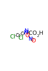 O=C(O)c1cnn(-c2ccc(-c3ccc(Cl)cc3Cl)cc2)c1OCCN1CCOCC1